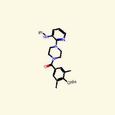 COc1c(C)cc(C(=O)N2CCN(c3ncccc3NC(C)C)CC2)cc1C